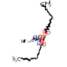 CCCCCCCC/C=C\CCCCCCCC(=O)OCC(COC(=O)CCCCCCC/C=C\CCCCCCCC)OS(=O)(=O)NCCN(C)C